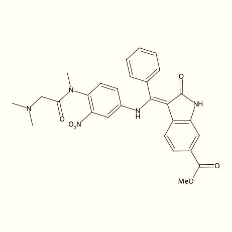 COC(=O)c1ccc2c(c1)NC(=O)C2=C(Nc1ccc(N(C)C(=O)CN(C)C)c([N+](=O)[O-])c1)c1ccccc1